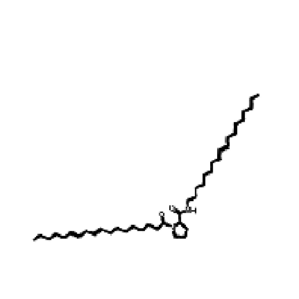 CCCCCC=CCC=CCCCCCCCC(=O)N1CCCC1C(=O)NCCCCCCCCC=CCCCCCCCC